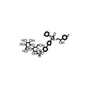 O=C1[C@H](CCC(O)c2ccc(F)cc2)C(c2ccc(-c3ccc(OS(=O)(=O)CC4OC(CO)C(OC5OC(CO)C(O)C(O)C5O)C(O)C4O)cc3)cc2)N1c1ccccc1